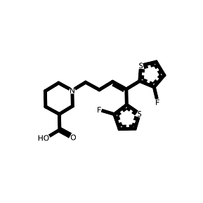 O=C(O)C1CCCN(CCC=C(c2sccc2F)c2sccc2F)C1